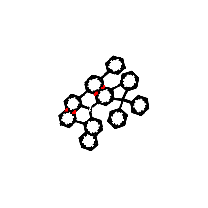 c1ccc(-c2ccc(-c3ccccc3N(c3ccc4c(c3)C(c3ccccc3)(c3ccccc3)c3ccccc3-4)c3ccc4ccccc4c3-c3ccccc3)cc2)cc1